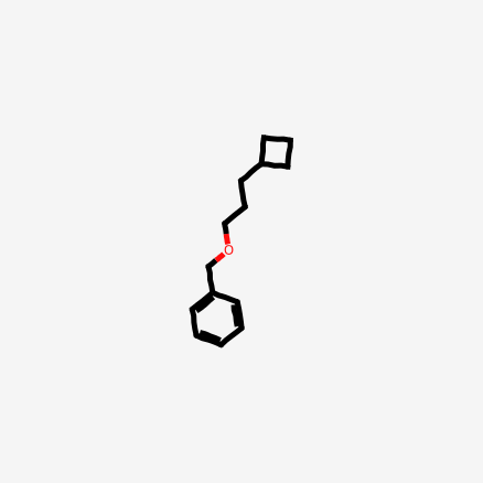 c1ccc(COCCCC2CCC2)cc1